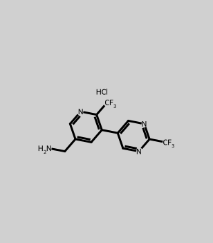 Cl.NCc1cnc(C(F)(F)F)c(-c2cnc(C(F)(F)F)nc2)c1